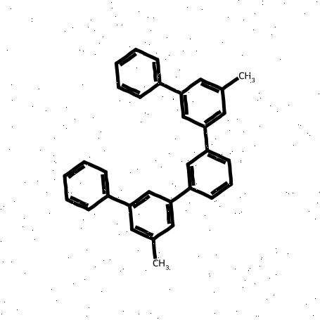 Cc1cc(-c2ccccc2)cc(-c2cccc(-c3cc(C)cc(-c4ccccc4)c3)c2)c1